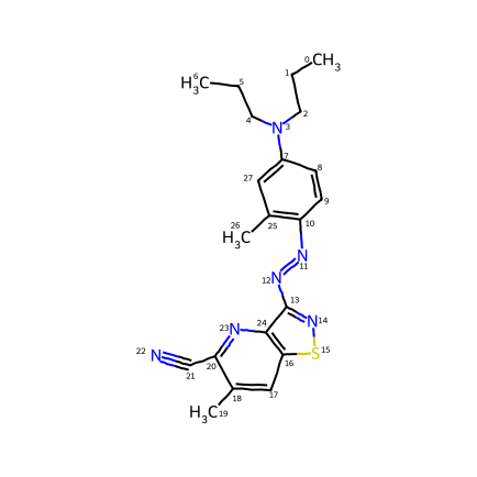 CCCN(CCC)c1ccc(N=Nc2nsc3cc(C)c(C#N)nc23)c(C)c1